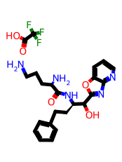 NCCC[C@@H](N)C(=O)N[C@H](CCc1ccccc1)C(O)c1nc2ncccc2o1.O=C(O)C(F)(F)F